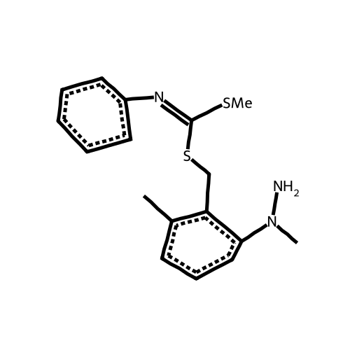 CSC(=Nc1ccccc1)SCc1c(C)cccc1N(C)N